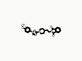 O=C1c2ccccc2C(=O)N1CCC1CCN(c2ncn(-c3ccc(OC(F)(F)F)cc3)n2)CC1